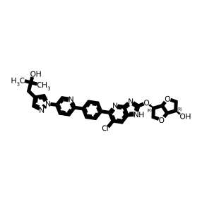 CC(C)(O)Cc1cnn(-c2ccc(-c3ccc(-c4nc5nc(O[C@@H]6COC7C6OC[C@H]7O)[nH]c5cc4Cl)cc3)nc2)c1